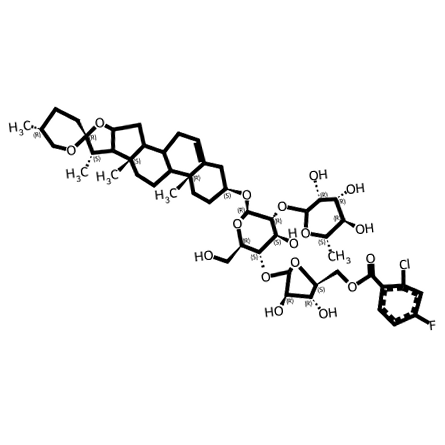 C[C@@H]1CC[C@@]2(OC1)OC1CC3C4CC=C5C[C@@H](O[C@@H]6O[C@H](CO)[C@@H](OC7O[C@@H](COC(=O)c8ccc(F)cc8Cl)[C@H](O)[C@H]7O)[C@H](O)[C@H]6OC6O[C@@H](C)[C@H](O)[C@@H](O)[C@H]6O)CC[C@]5(C)C4CC[C@]3(C)C1[C@@H]2C